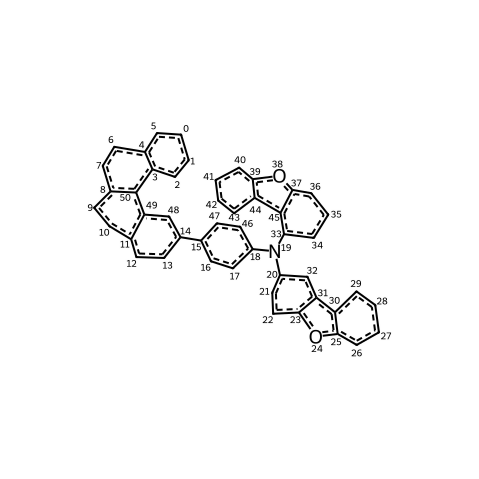 c1ccc2c(c1)ccc1ccc3ccc(-c4ccc(N(c5ccc6oc7ccccc7c6c5)c5cccc6oc7ccccc7c56)cc4)cc3c12